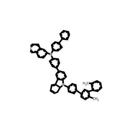 Cc1ccccc1-c1cc(-c2ccc(N3c4ccc(-c5ccc(N(c6ccc(-c7ccccc7)cc6)c6ccc7ccccc7c6)cc5)cc4C4=CC=CCC43)cc2)ccc1C